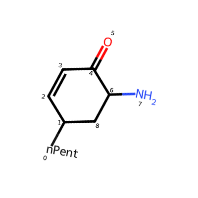 CCCCCC1C=CC(=O)C(N)C1